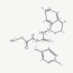 CC(C)(C)OC(=O)N[C@@H](Cc1ccc(I)cc1)C(=O)N[C@@H]1CCCc2ccccc21